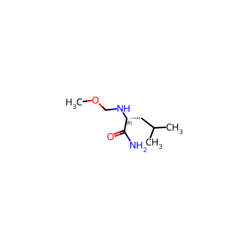 COCN[C@H](CC(C)C)C(N)=O